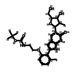 Cc1cccc(OCCNC(=O)OC(C)(C)C)c1-c1cc2cn(C3OC(CO)C(O)C3C)c(=O)nc2[nH]1